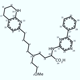 COCCN(CCCCc1ccc2c(n1)NCCC2)CCC(Nc1cncc(-c2ccccc2)n1)C(=O)O